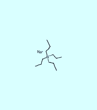 CCC[N+](CCC)(CCC)CCC.[Na+]